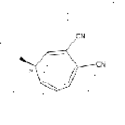 C[C@@H]1C=CC=C(C#N)C(C#N)=C1